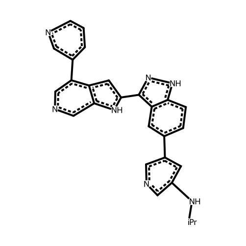 CC(C)Nc1cncc(-c2ccc3[nH]nc(-c4cc5c(-c6cccnc6)cncc5[nH]4)c3c2)c1